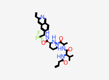 C=CCC(=O)NC(C(=O)NC(C)C(=O)N1CCC[C@@H](C(=O)N[C@@H](c2ccc3cnc(C=C)cc3c2)C(F)(F)F)N1)C(C)C